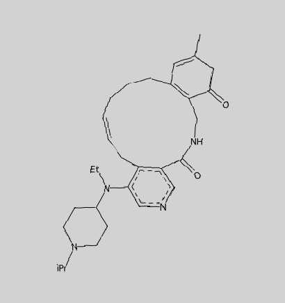 CCN(c1cncc2c1CC=CCCCC1=C(CNC2=O)C(=O)CC(C)=C1)C1CCN(C(C)C)CC1